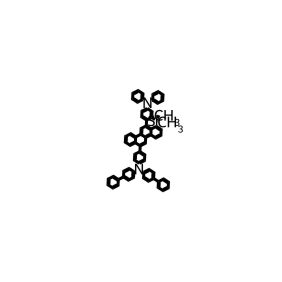 C[Si]1(C)c2cc(N(c3ccccc3)c3ccccc3)ccc2-c2cc3c4ccccc4c(-c4ccc(N(c5ccc(-c6ccccc6)cc5)c5ccc(-c6ccccc6)cc5)cc4)cc3c3cccc1c23